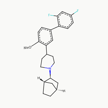 COc1ccc(-c2ccc(F)cc2F)cc1C1CCN([C@H]2C[C@H]3CC[C@H]2C3)CC1